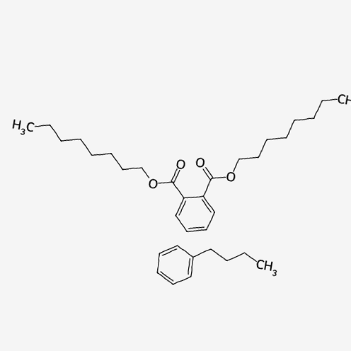 CCCCCCCCOC(=O)c1ccccc1C(=O)OCCCCCCCC.CCCCc1ccccc1